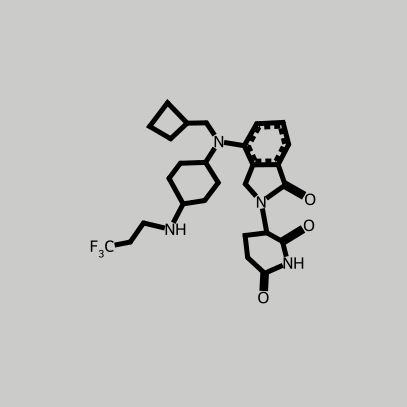 O=C1CCC(N2Cc3c(cccc3N(CC3CCC3)C3CCC(NCCC(F)(F)F)CC3)C2=O)C(=O)N1